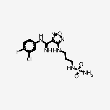 N=C(Nc1ccc(F)c(Cl)c1)c1nonc1NCCCNS(N)(=O)=O